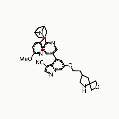 COc1ccc(CN2C3CC2CN(c2ccc(-c4cc(OCCC5CNC6(COC6)C5)cn5ncc(C#N)c45)cn2)C3)cn1